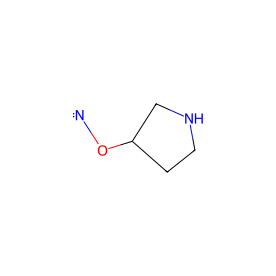 [N]OC1CCNC1